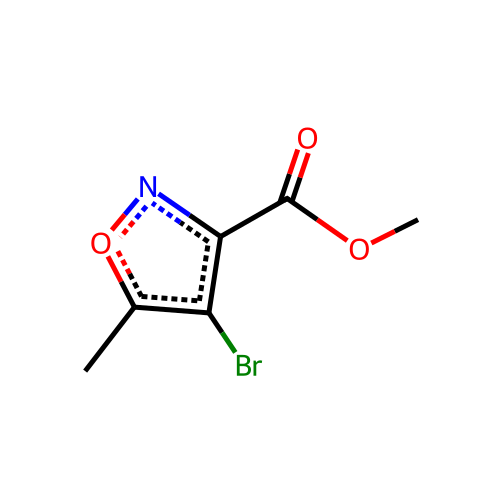 COC(=O)c1noc(C)c1Br